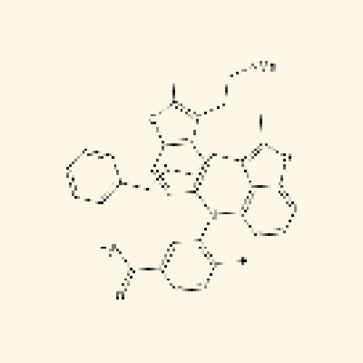 CNCCc1c(C)oc2ccc(N(c3cc(C(N)=O)ccc3F)c3cccc4oc(C)c(CCN(C)Cc5ccccc5)c34)cc12